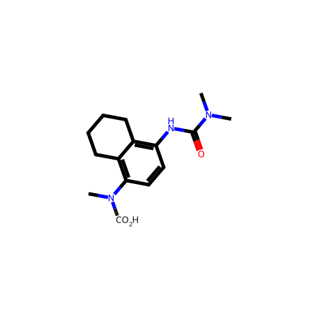 CN(C)C(=O)Nc1ccc(N(C)C(=O)O)c2c1CCCC2